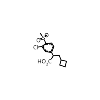 CS(=O)(=O)c1ccc(C(CC2CCC2)C(=O)O)cc1Cl